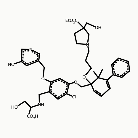 CCOC(=O)C1(CO)CCN(CCCOC2(COc3cc(OCc4cncc(C#N)c4)c(CNC(CO)C(=O)O)cc3Cl)C=CC=C(c3ccccc3)C2(C)C)C1